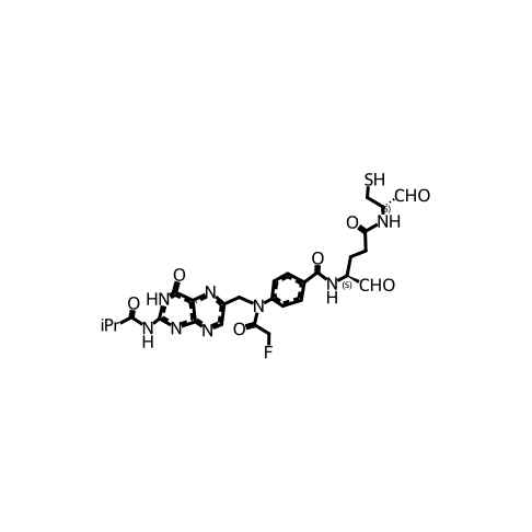 CC(C)C(=O)Nc1nc2ncc(CN(C(=O)CF)c3ccc(C(=O)N[C@H](C=O)CCC(=O)N[C@@H](C=O)CS)cc3)nc2c(=O)[nH]1